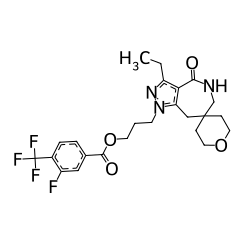 CCc1nn(CCCOC(=O)c2ccc(C(F)(F)F)c(F)c2)c2c1C(=O)NCC1(CCOCC1)C2